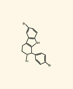 CC(=O)N1CCc2c([nH]c3ccc(Br)cc23)C1c1ccc(Br)cc1